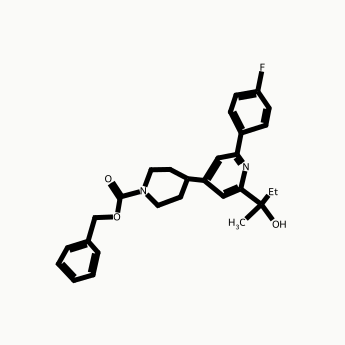 CCC(C)(O)c1cc(C2CCN(C(=O)OCc3ccccc3)CC2)cc(-c2ccc(F)cc2)n1